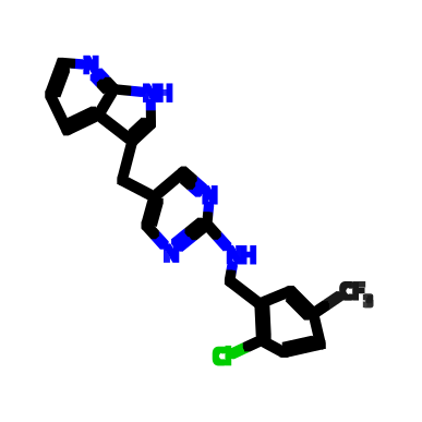 FC(F)(F)c1ccc(Cl)c(CNc2ncc(Cc3c[nH]c4ncccc34)cn2)c1